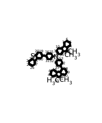 CC1(C)c2ccccc2-c2ccc(N(c3ccc(-c4ccc5sc6ccccc6c5c4)cc3)c3ccc(-c4cccc5c4-c4ccccc4C5(C)C)cc3)cc21